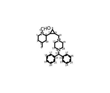 CC1CCN(C=O)C(C2CC2CN2CCN(C(c3ccccc3)c3ccccc3)CC2)C1